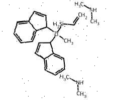 C=C[SiH2][Zr]([CH3])([CH]1C=Cc2ccccc21)[CH]1C=Cc2ccccc21.CNC.CNC